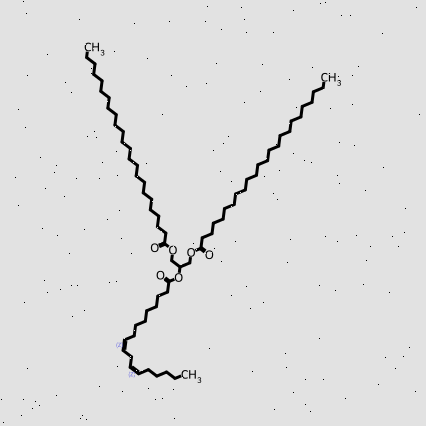 CCCCC/C=C\C/C=C\CCCCCCCC(=O)OC(COC(=O)CCCCCCCCCCCCCCCCCCCCCCC)COC(=O)CCCCCCCCCCCCCCCCCCCCCCC